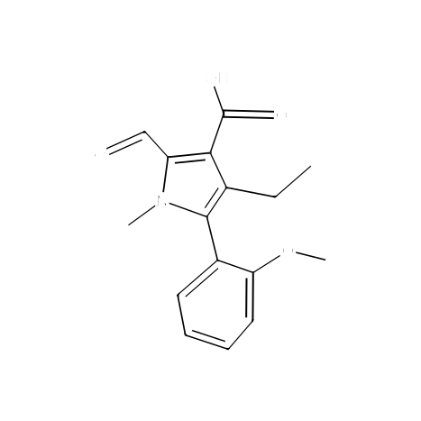 CCc1c(C(=O)O)c(C=O)n(C)c1-c1ccccc1OC